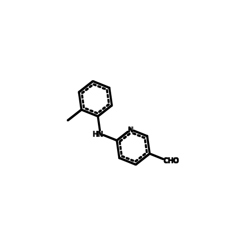 Cc1ccccc1Nc1ccc(C=O)cn1